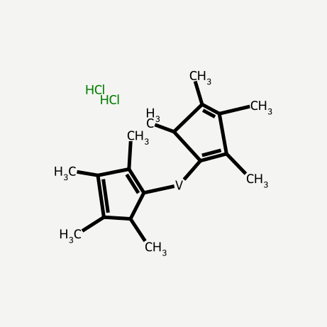 CC1=C(C)C(C)[C]([V][C]2=C(C)C(C)=C(C)C2C)=C1C.Cl.Cl